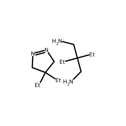 CCC(CC)(CN)CN.CCC1(CC)CN=NC1